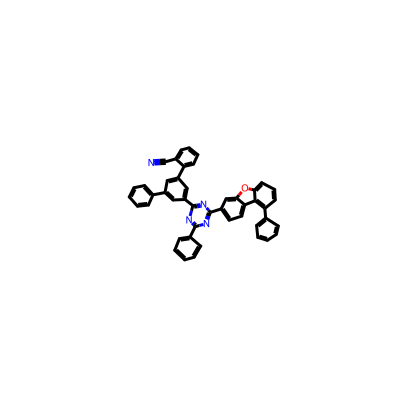 N#Cc1ccccc1-c1cc(-c2ccccc2)cc(-c2nc(-c3ccccc3)nc(-c3ccc4c(c3)oc3cccc(-c5ccccc5)c34)n2)c1